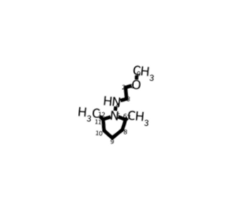 COCCNN1C(C)CCCC1C